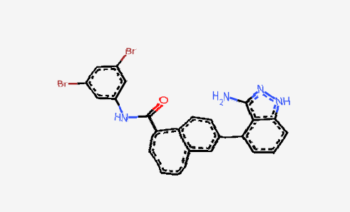 Nc1n[nH]c2cccc(-c3ccc4c(C(=O)Nc5cc(Br)cc(Br)c5)cccc4c3)c12